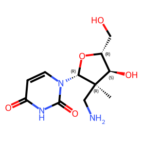 C[C@@]1(CN)[C@H](O)[C@@H](CO)O[C@H]1n1ccc(=O)[nH]c1=O